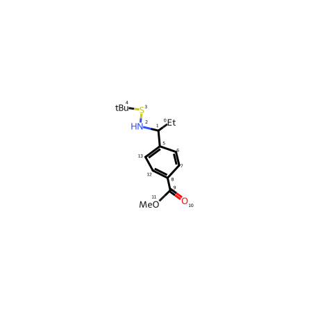 CCC(NSC(C)(C)C)c1ccc(C(=O)OC)cc1